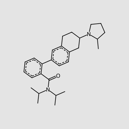 CC1CCCN1C1CCc2cc(-c3ccccc3C(=O)N(C(C)C)C(C)C)ccc2C1